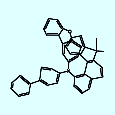 CC1(C)c2ccccc2-c2c1ccc1cccc(N(c3ccc(-c4ccccc4)cc3)c3ccc4oc5ccccc5c4c3)c21